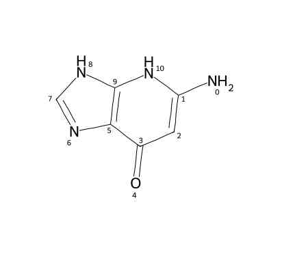 Nc1cc(=O)c2nc[nH]c2[nH]1